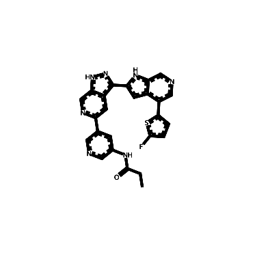 CCC(=O)Nc1cncc(-c2cc3c(-c4cc5c(-c6ccc(F)s6)cncc5[nH]4)n[nH]c3cn2)c1